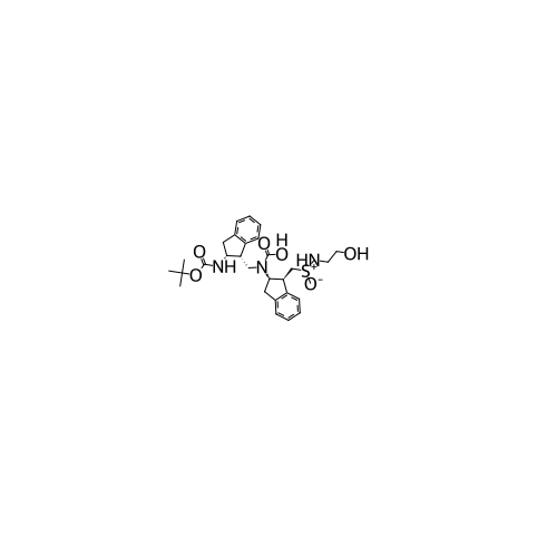 CC(C)(C)OC(=O)N[C@@H]1Cc2ccccc2[C@@H]1CN(C(=O)O)[C@@H]1Cc2ccccc2[C@@H]1C[S+]([O-])NCCO